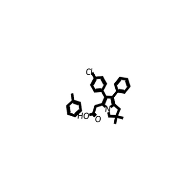 CC1(C)Cc2c(-c3ccccc3)c(-c3ccc(Cl)cc3)c(CC(=O)O)n2C1.Cc1ccccc1